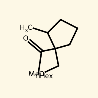 CCCCCCC(=O)C1(COC)CCCC1C